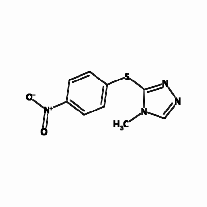 Cn1cnnc1Sc1ccc([N+](=O)[O-])cc1